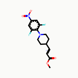 COC(=O)/C=C/C1CCN(c2c(F)cc([N+](=O)[O-])cc2F)CC1